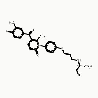 Cc1cc(C(=O)c2ccc(=O)n(-c3ccc(OCCCN[C@@H](CC(C)C)C(=O)O)cc3)c2N)ccc1F